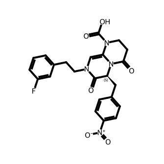 O=C1[C@H](Cc2ccc([N+](=O)[O-])cc2)N2C(=O)CCN(C(=O)O)C2=CN1CCc1cccc(F)c1